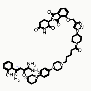 NC(N)=C(/C=C(\N)c1ccccc1O)O[C@H]1CCCN(c2ccc(N3CCN(CCCCC(=O)N4CCC(n5cc(COc6cccc7c6C(=O)N(C6CCC(=O)NC6=O)C7=O)nn5)CC4)CC3)cc2)C1